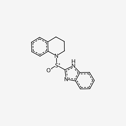 [O-][S+](c1nc2ccccc2[nH]1)N1CCCc2ccccc21